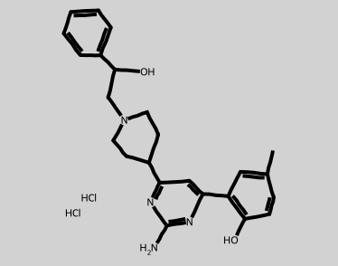 Cc1ccc(O)c(-c2cc(C3CCN(CC(O)c4ccccc4)CC3)nc(N)n2)c1.Cl.Cl